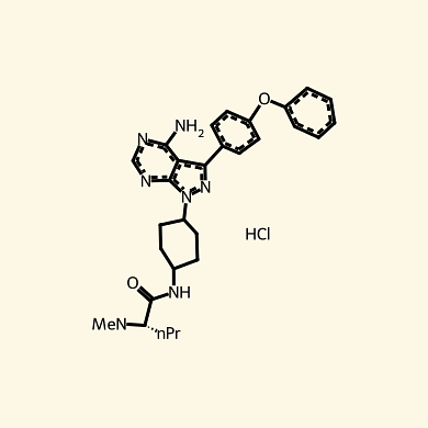 CCC[C@H](NC)C(=O)NC1CCC(n2nc(-c3ccc(Oc4ccccc4)cc3)c3c(N)ncnc32)CC1.Cl